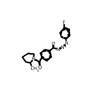 CC1CCCCN1C(=O)c1ccc(C(=O)N=[N+]=Nc2ccc(F)cc2)cc1